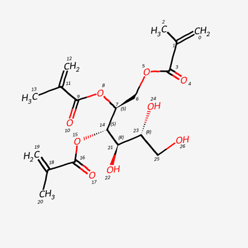 C=C(C)C(=O)OC[C@H](OC(=O)C(=C)C)[C@@H](OC(=O)C(=C)C)[C@H](O)[C@H](O)CO